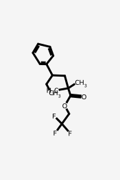 CCC(CC(C)(C)C(=O)OCC(F)(F)F)c1ccccc1